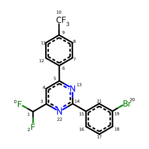 FC(F)c1cc(-c2ccc(C(F)(F)F)cc2)nc(-c2cccc(Br)c2)n1